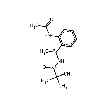 CC(=O)Nc1ccccc1[C@H](C)N[S+]([O-])C(C)(C)C